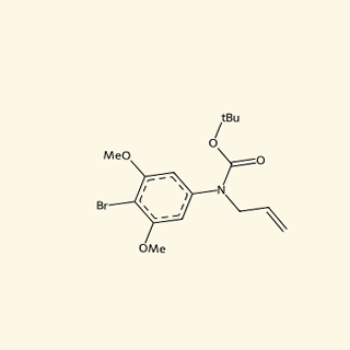 C=CCN(C(=O)OC(C)(C)C)c1cc(OC)c(Br)c(OC)c1